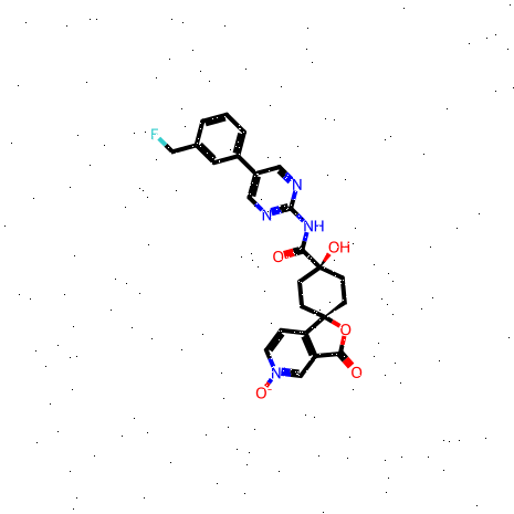 O=C1O[C@]2(CC[C@@](O)(C(=O)Nc3ncc(-c4cccc(CF)c4)cn3)CC2)c2cc[n+]([O-])cc21